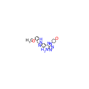 COc1ccccc1Cc1nc2ccc(-c3nn(C4CCC(=O)CC4)c4ncnc(N)c34)cc2[nH]1